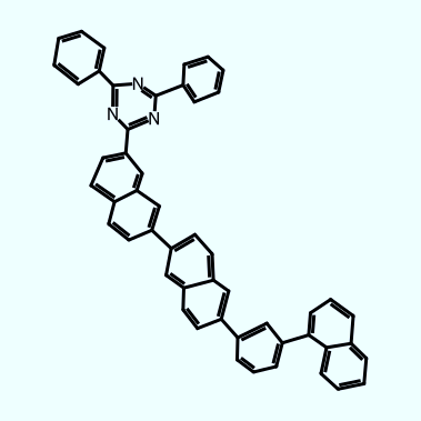 c1ccc(-c2nc(-c3ccccc3)nc(-c3ccc4ccc(-c5ccc6cc(-c7cccc(-c8cccc9ccccc89)c7)ccc6c5)cc4c3)n2)cc1